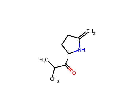 C=C1CC[C@@H](C(=O)C(C)C)N1